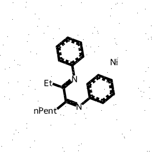 CCCCCC(=Nc1ccccc1)C(CC)=Nc1ccccc1.[Ni]